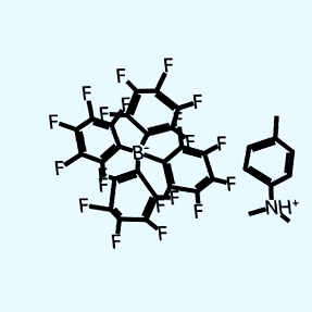 Cc1ccc([NH+](C)C)cc1.Fc1c(F)c(F)c([B-](c2c(F)c(F)c(F)c(F)c2F)(c2c(F)c(F)c(F)c(F)c2F)c2c(F)c(F)c(F)c(F)c2F)c(F)c1F